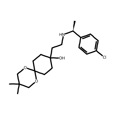 C[C@H](NCCC1(O)CCC2(CC1)OCC(C)(C)CO2)c1ccc(Cl)cc1